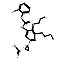 CCCCc1cc([C@@H]2C[C@@H]2C(=O)O)cc(NC(=O)Nc2ccccc2F)c1OCCC